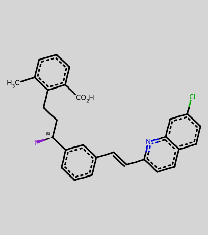 Cc1cccc(C(=O)O)c1CC[C@H](I)c1cccc(C=Cc2ccc3ccc(Cl)cc3n2)c1